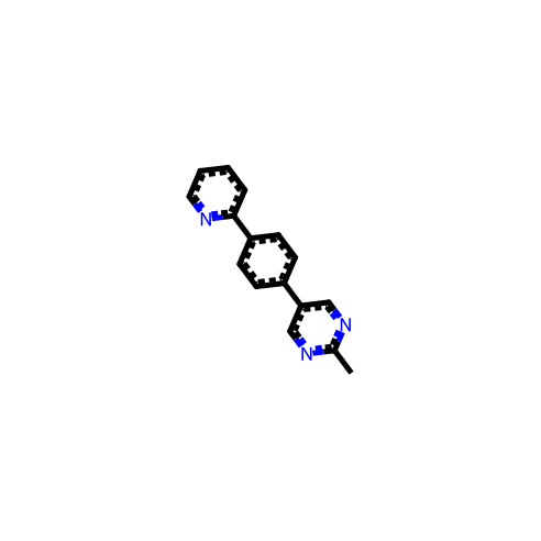 Cc1ncc(-c2ccc(-c3ccccn3)cc2)cn1